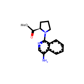 COC(=O)[C@H]1CCCN1c1ncc(N)c2ccccc12